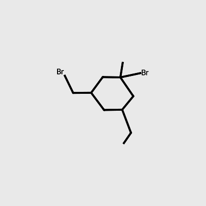 CCC1CC(CBr)CC(C)(Br)C1